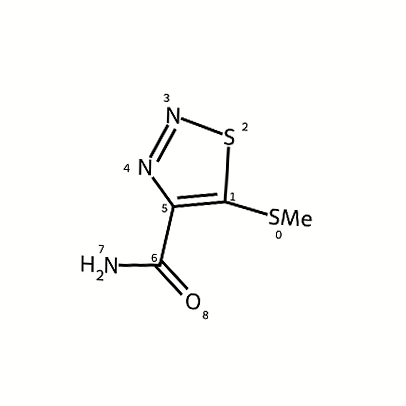 CSc1snnc1C(N)=O